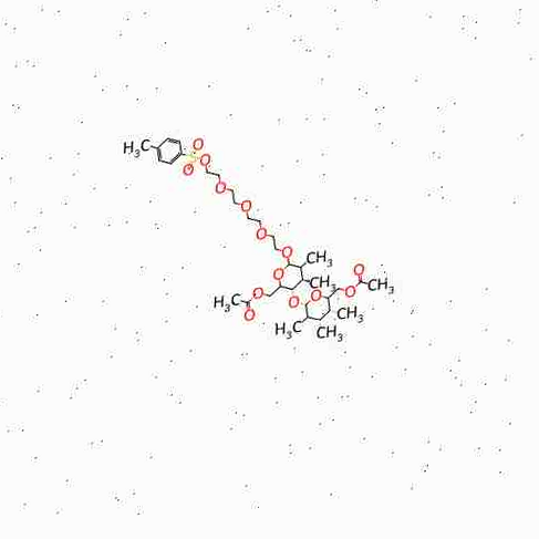 CC(=O)OCC1O[C@@H](OCCOCCOCCOCCOS(=O)(=O)c2ccc(C)cc2)C(C)[C@@H](C)[C@@H]1O[C@@H]1OC(COC(C)=O)[C@H](C)[C@H](C)C1C